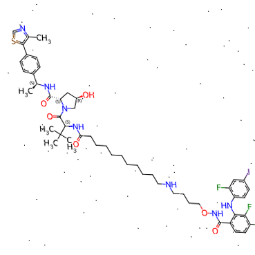 Cc1ncsc1-c1ccc([C@H](C)NC(=O)[C@@H]2C[C@@H](O)CN2C(=O)[C@@H](NC(=O)CCCCCCCCCCNCCCCONC(=O)c2ccc(F)c(F)c2Nc2ccc(I)cc2F)C(C)(C)C)cc1